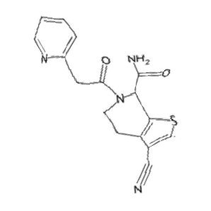 N#Cc1[c]sc2c1CCN(C(=O)Cc1ccccn1)C2C(N)=O